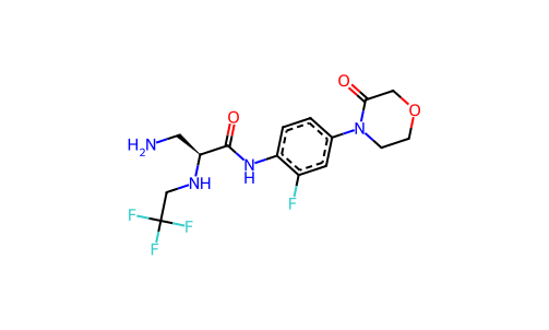 NC[C@H](NCC(F)(F)F)C(=O)Nc1ccc(N2CCOCC2=O)cc1F